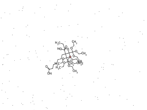 CCCOC(OCC)(C(OCC)(OCC)OCC)C(CCCCCCC(=O)O)(C(=O)O)C(OCC)(OCCC)C(OCC)(OCC)OCC